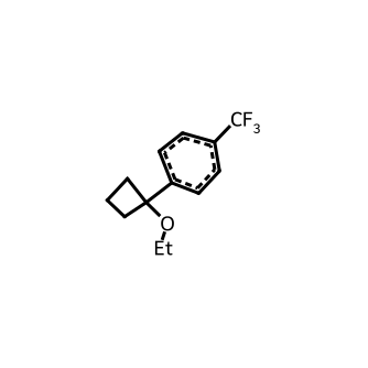 CCOC1(c2ccc(C(F)(F)F)cc2)CCC1